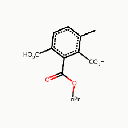 CCCOC(=O)c1c(C(=O)O)ccc(C)c1C(=O)O